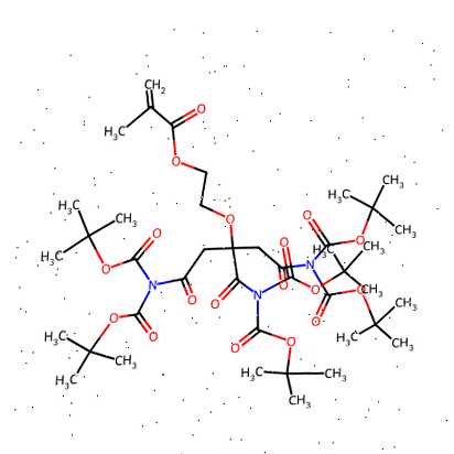 C=C(C)C(=O)OCCOC(CC(=O)N(C(=O)OC(C)(C)C)C(=O)OC(C)(C)C)(CC(=O)N(C(=O)OC(C)(C)C)C(=O)OC(C)(C)C)C(=O)N(C(=O)OC(C)(C)C)C(=O)OC(C)(C)C